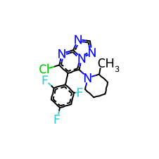 CC1CCCCN1c1c(-c2c(F)cc(F)cc2F)c(Cl)nc2ncnn12